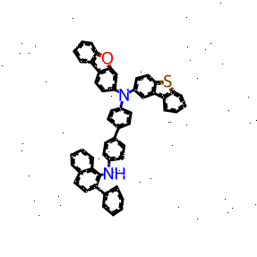 c1ccc(-c2ccc3ccccc3c2Nc2ccc(-c3ccc(N(c4ccc5c(c4)oc4ccccc45)c4ccc5sc6ccccc6c5c4)cc3)cc2)cc1